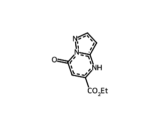 CCOC(=O)c1cc(=O)n2nccc2[nH]1